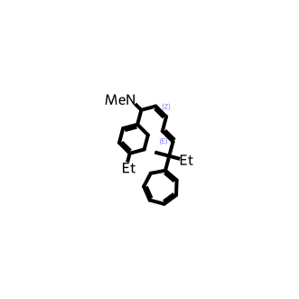 CCC1=CC=C(C(/C=C\C=C\C(C)(CC)C2=CC=CC=CC2)NC)CC1